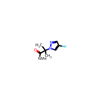 CNC(=O)C(C)(C)n1cc(F)cn1